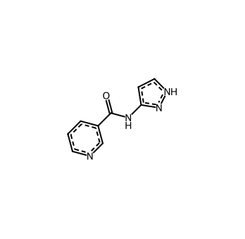 O=C(Nc1cc[nH]n1)c1cccnc1